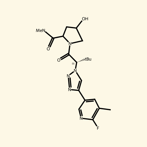 CNC(=O)C1CC(O)CN1C(=O)[C@@H](n1cc(-c2cnc(F)c(C)c2)nn1)C(C)(C)C